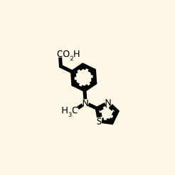 CN(c1cccc(CC(=O)O)c1)c1nccs1